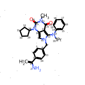 C=C(N)c1ccc(Cn2cc3c(c2N(c2ccccc2)C(C)C)c(=O)n(C)c(=O)n3C2CCCC2)cc1